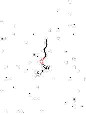 CCCC[O][Sn][Sn]